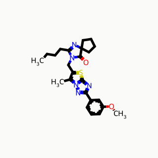 CCCCC1=NC2(CCCC2)C(=O)N1Cc1sc2nc(-c3cccc(OC)c3)nn2c1C